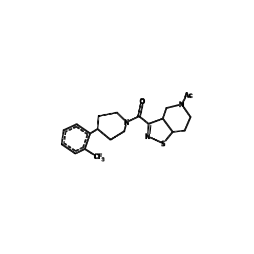 CC(=O)N1CCC2SN=C(C(=O)N3CCC(c4ccccc4C(F)(F)F)CC3)C2C1